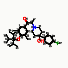 Cc1cc(C(=O)C(C)N2CCC(O)(c3ccc(F)cc3)CC2)cc(C)c1O[Si](C(C)C)(C(C)C)C(C)C